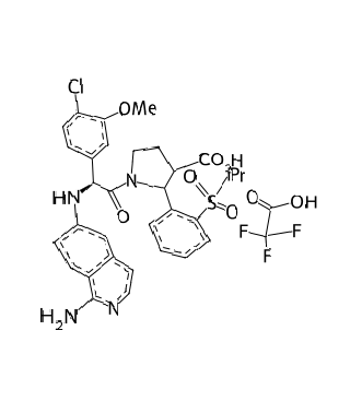 COc1cc([C@H](Nc2ccc3c(N)nccc3c2)C(=O)N2CCC(C(=O)O)C2c2ccccc2S(=O)(=O)C(C)C)ccc1Cl.O=C(O)C(F)(F)F